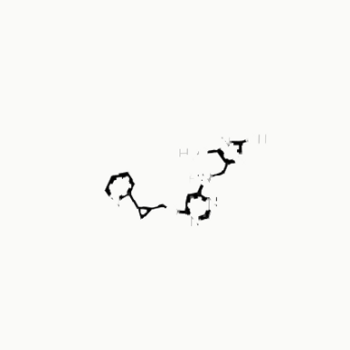 Cc1nc(C)c(CNc2cc(OCC3CC3c3ccccn3)ncn2)s1